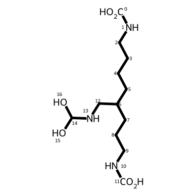 O=C(O)NCCCCC(CCCNC(=O)O)CNC(O)O